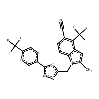 Cc1cc2c(C(F)(F)F)c(C#N)ccc2n1Cc1nnc(-c2ccc(C(F)(F)F)nc2)o1